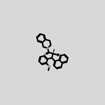 COc1ccccc1C(c1cccc2ccccc12)[C@@](C)(C#N)C(=O)N1CCc2ccccc2C1